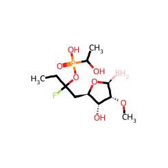 B[C@@H]1O[C@H](CC(F)(CC)OP(=O)(O)C(C)O)[C@@H](O)[C@H]1OC